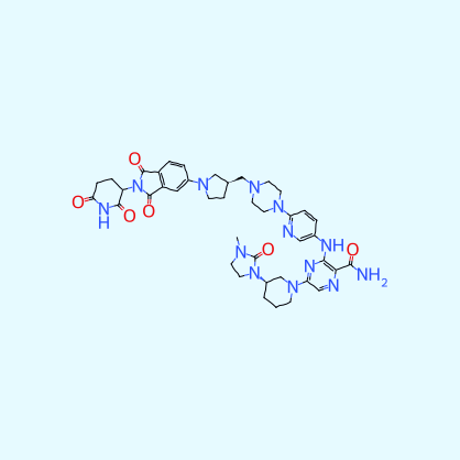 CN1CCN([C@@H]2CCCN(c3cnc(C(N)=O)c(Nc4ccc(N5CCN(C[C@H]6CCN(c7ccc8c(c7)C(=O)N(C7CCC(=O)NC7=O)C8=O)C6)CC5)nc4)n3)C2)C1=O